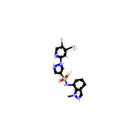 Cn1ncc2cccc(NS(=O)(=O)c3cnn(-c4cc(C(F)(F)F)c(F)cn4)c3)c21